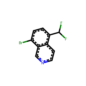 FC(F)c1ccc(Br)c2cnccc12